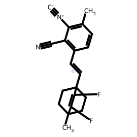 [C-]#[N+]c1c(C)ccc(/C=C/C23CCC(C)(CC2)C(F)=C3F)c1C#N